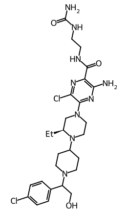 CC[C@H]1CN(c2nc(N)c(C(=O)NCCNC(N)=O)nc2Cl)CCN1C1CCN(C(CO)c2ccc(Cl)cc2)CC1